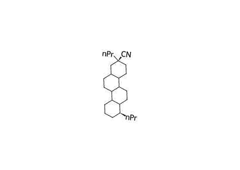 CCC[C@H]1CCCC2C3CCC4C[C@](C#N)(CCC)CCC4C3CCC21